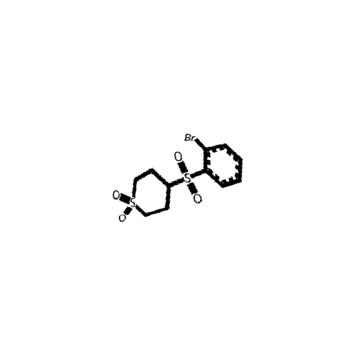 O=S1(=O)CCC(S(=O)(=O)c2ccccc2Br)CC1